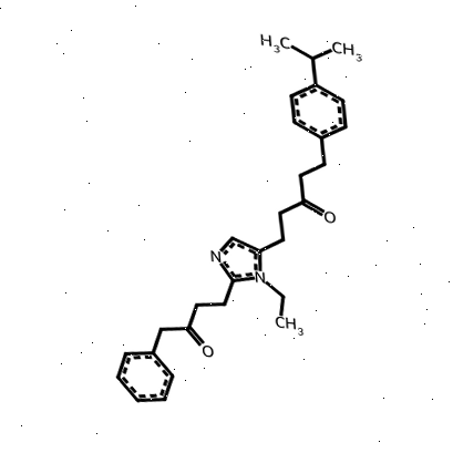 CCn1c(CCC(=O)CCc2ccc(C(C)C)cc2)cnc1CCC(=O)Cc1ccccc1